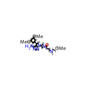 COCCN(C)C/C=C/C(=O)N1CC(n2cc(-c3cc(OC)cc(OC)c3)c3c(N)ncnc32)C1